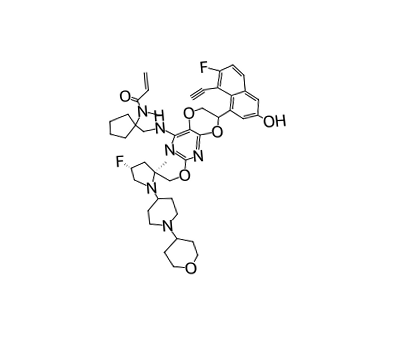 C#Cc1c(F)ccc2cc(O)cc(C3COc4c(NCC5(N(C)C(=O)C=C)CCCC5)nc(OC[C@]5(C)C[C@@H](F)CN5C5CCN(C6CCOCC6)CC5)nc4O3)c12